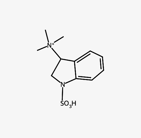 C[N+](C)(C)C1CN(S(=O)(=O)O)c2ccccc21